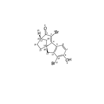 O=C1C(Br)=C2c3ccc(O)c(Br)c3C[C@]23CC[C@H]1C3